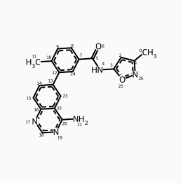 Cc1cc(NC(=O)c2ccc(C)c(-c3ccc4ncnc(N)c4c3)c2)on1